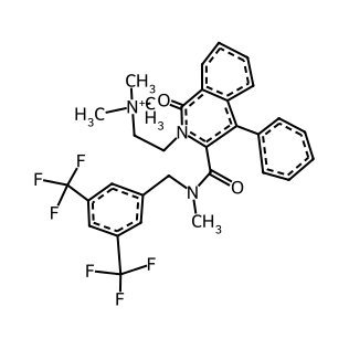 CN(Cc1cc(C(F)(F)F)cc(C(F)(F)F)c1)C(=O)c1c(-c2ccccc2)c2ccccc2c(=O)n1CC[N+](C)(C)C